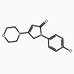 O=C1C=C(N2CCOCC2)CN1c1ccc(Cl)cc1